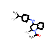 CC(=O)N1c2ccccc2C(Nc2ccc(C(C)C)cc2)CC1C